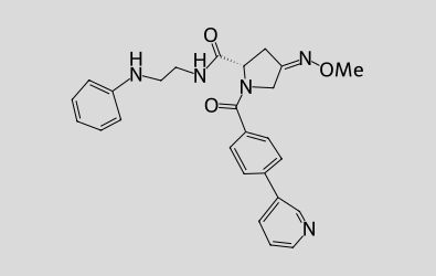 CON=C1C[C@@H](C(=O)NCCNc2ccccc2)N(C(=O)c2ccc(-c3cccnc3)cc2)C1